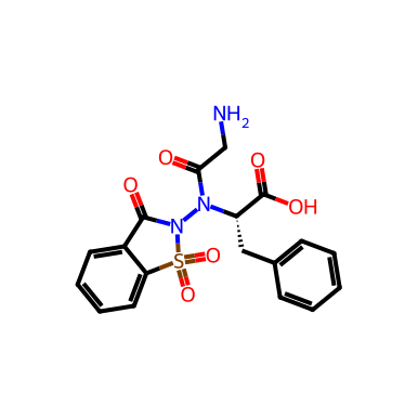 NCC(=O)N([C@@H](Cc1ccccc1)C(=O)O)N1C(=O)c2ccccc2S1(=O)=O